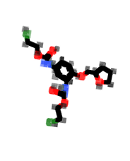 O=C(Nc1ccc(OCC2CCCO2)c(NC(=O)OCCCl)c1)OCCCl